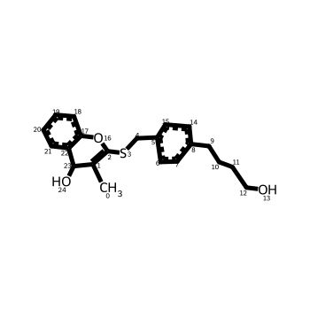 CC1=C(SCc2ccc(CCCCO)cc2)Oc2ccccc2C1O